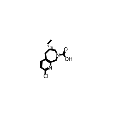 CC[C@H]1Cc2ccc(Cl)nc2CN(C(=O)O)C1